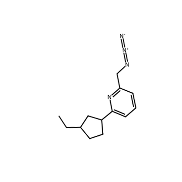 CCC1CCC(c2cccc(CN=[N+]=[N-])n2)C1